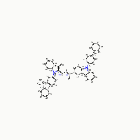 C=c1/c(=C\C=C(/C)c2ccc3c(c2)c2ccccc2n3-c2ccc(-c3ccccc3)cc2)n(-c2ccc3c(c2)C(C)(C)c2ccccc2-3)c2ccccc12